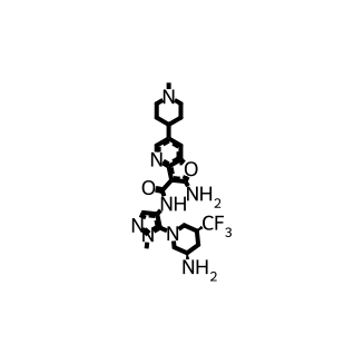 CN1CCC(c2cnc3c(C(=O)Nc4cnn(C)c4N4C[C@H](N)C[C@H](C(F)(F)F)C4)c(N)oc3c2)CC1